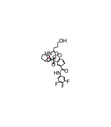 O=C(CCCO)NC[C@]1(O)C2CCC1C[C@@H](S(=O)(=O)c1cc(C(=O)Nc3cc(F)c(F)c(F)c3)ccc1Cl)C2